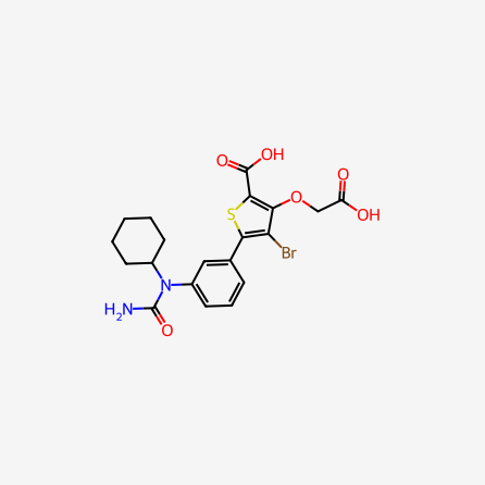 NC(=O)N(c1cccc(-c2sc(C(=O)O)c(OCC(=O)O)c2Br)c1)C1CCCCC1